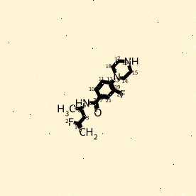 C=C(F)CC(C)NC(=O)c1ccc(N2CCNCC2)c(F)c1